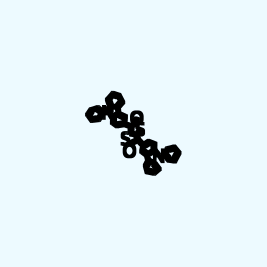 O=C1SC2=C(c3ccc4c(c3)c3ccccc3n4-c3ccccc3)C(=O)SC2=C1c1ccc2c(c1)c1ccccc1n2-c1ccccc1